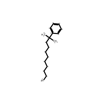 [CH2]C(C)CCCCCCCCC(C)(C)c1ccccc1